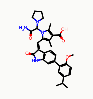 COc1ccc(C(C)C)cc1-c1ccc2c(c1)NC(=O)C2=Cc1c(C)c(C(=O)O)c(C)n1C(C(N)=O)N1CCCC1